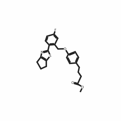 COC(=O)CCCc1ccc(OCc2cc(F)ccc2-c2nc3c(s2)CCC3)cc1